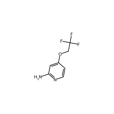 Nc1cc(OCC(F)(F)F)ccn1